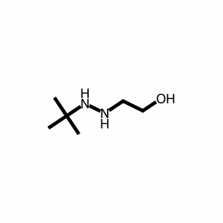 CC(C)(C)NNCCO